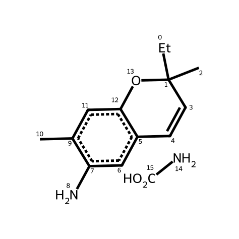 CCC1(C)C=Cc2cc(N)c(C)cc2O1.NC(=O)O